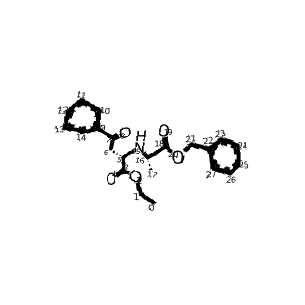 CCOC(=O)[C@H](CC(=O)c1ccccc1)N[C@@H](C)C(=O)OCc1ccccc1